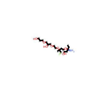 CCC(N)(CCO)OCCC(C)(CF)OCCOCC(O)COCCCO